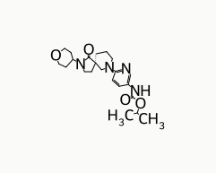 CC(C)OC(=O)Nc1ccc(N2CCC[C@@]3(CCN(C4CCOCC4)C3=O)C2)nc1